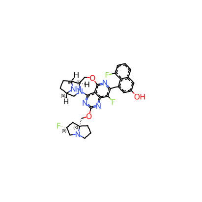 Oc1cc(-c2nc3c4c(nc(OC[C@]56CCCN5C[C@H](F)C6)nc4c2F)N2C[C@@H]4CC[C@@H](N4)[C@H]2CO3)c2c(F)cccc2c1